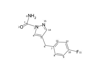 NC(=O)n1cc(Cc2ccc(F)cc2)cn1